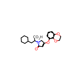 O=C(O)C(CC1CCCCC1)N1CC(Oc2cccc3c2OCCO3)=CC1=O